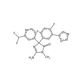 CN1C(=O)C(c2ccnc(C(F)F)c2)(c2cc(-c3cnco3)c(F)cc2F)N=C1N